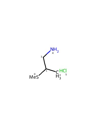 CSC(C)CN.Cl